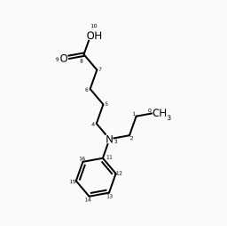 CCCN(CCCCC(=O)O)c1ccccc1